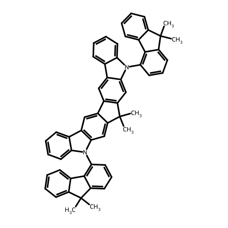 CC1(C)c2cc3c(cc2-c2cc4c5ccccc5n(-c5cccc6c5-c5ccccc5C6(C)C)c4cc21)c1ccccc1n3-c1cccc2c1-c1ccccc1C2(C)C